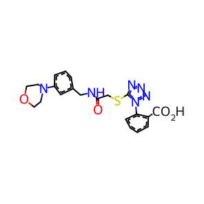 O=C(CSc1nnnn1-c1ccccc1C(=O)O)NCc1cccc(N2CCOCC2)c1